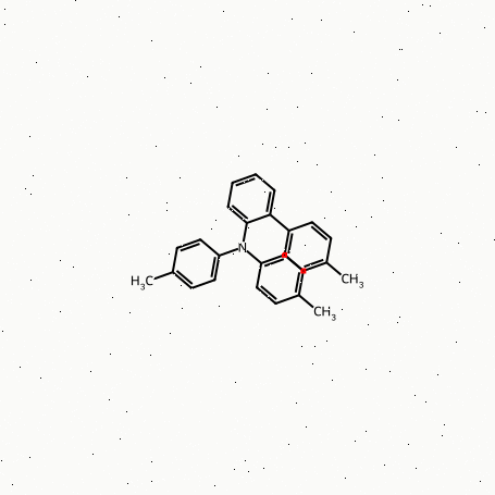 Cc1ccc(-c2ccccc2N(c2ccc(C)cc2)c2ccc(C)cc2)cc1